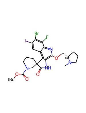 CN1CCC[C@H]1COc1nc2c(F)c(Br)c(I)cc2c2c1NC(=O)C21CCCN(C(=O)OC(C)(C)C)C1